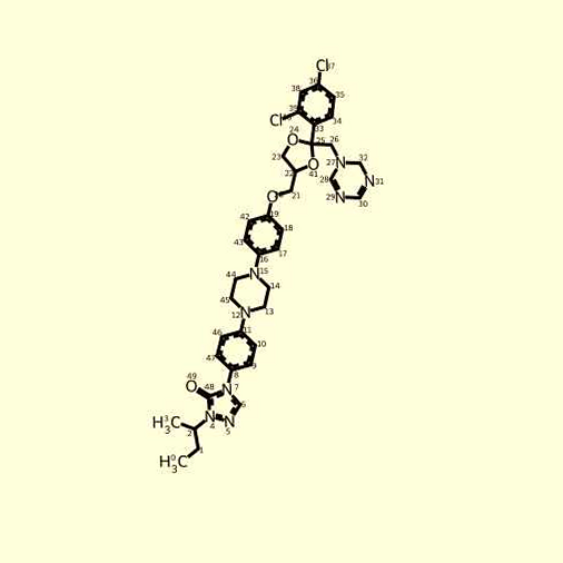 CCC(C)n1ncn(-c2ccc(N3CCN(c4ccc(OCC5COC(CN6C=NC=NC6)(c6ccc(Cl)cc6Cl)O5)cc4)CC3)cc2)c1=O